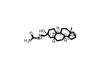 C[C@]12CC[C@@](O)(C=NNC(N)=O)C[C@H]1CC[C@@H]1[C@@H]2CC[C@]2(C)CCC[C@]12O